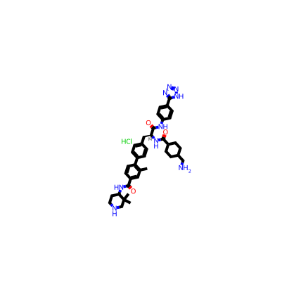 Cc1cc(C(=O)NC2CCNCC2(C)C)ccc1-c1ccc(C[C@H](NC(=O)C2CCC(CN)CC2)C(=O)Nc2ccc(-c3nnn[nH]3)cc2)cc1.Cl